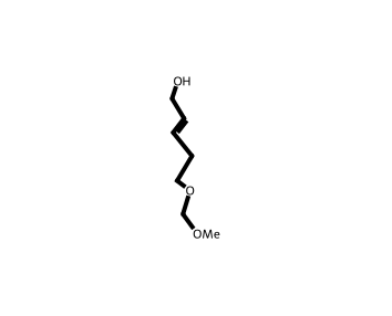 COCOCC/C=C/CO